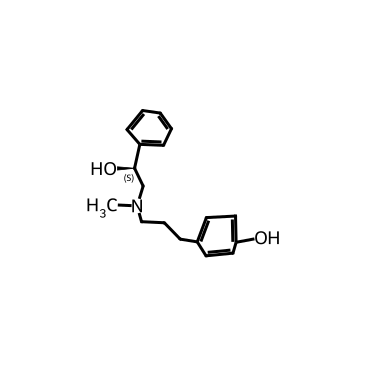 CN(CCCc1ccc(O)cc1)C[C@@H](O)c1ccccc1